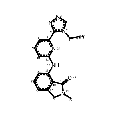 CC(C)Cn1cnnc1-c1cccc(Nc2cccc3c2C(=O)N(C)C3)n1